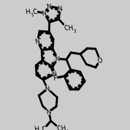 Cc1nnn(C)c1-c1cnc2c3ccc(N4CCN(C(C)C)CC4)nc3n(C(CC3CCOCC3)c3ccccc3F)c2c1